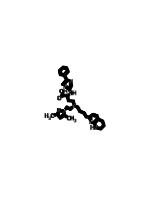 Cc1cc(C)n(CCN(CCCCc2ccc3c(n2)NCCC3)CCC(Nc2cnc(-c3ccccc3)cn2)C(=O)O)n1